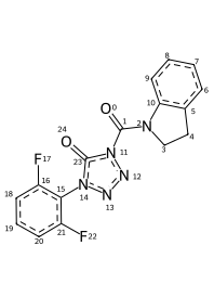 O=C(N1CCc2ccccc21)n1nnn(-c2c(F)cccc2F)c1=O